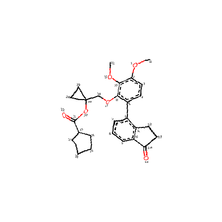 COc1ccc(-c2cccc3c2CCC3=O)c(OCC2(OC(=O)C3CCCC3)CC2)c1OC